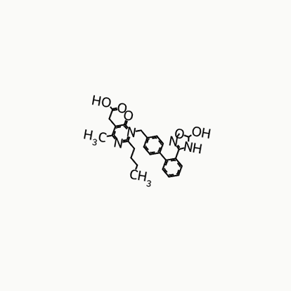 CCCCc1nc(C)c(CC(=O)O)c(=O)n1Cc1ccc(-c2ccccc2C2=NOC(O)N2)cc1